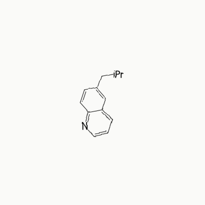 CC(C)Cc1ccc2ncccc2c1